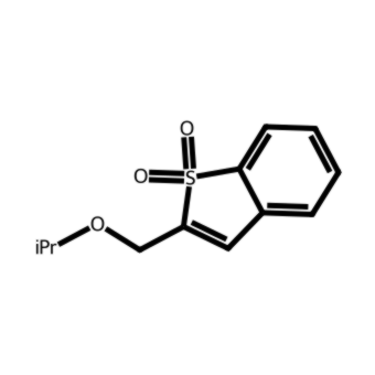 CC(C)OCC1=Cc2ccccc2S1(=O)=O